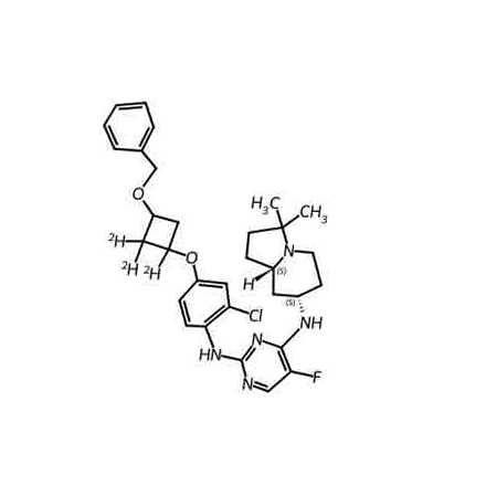 [2H]C1(Oc2ccc(Nc3ncc(F)c(N[C@H]4CCN5[C@@H](CCC5(C)C)C4)n3)c(Cl)c2)CC(OCc2ccccc2)C1([2H])[2H]